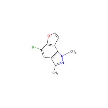 Cc1nn(C)c2c1cc(Br)c1occc12